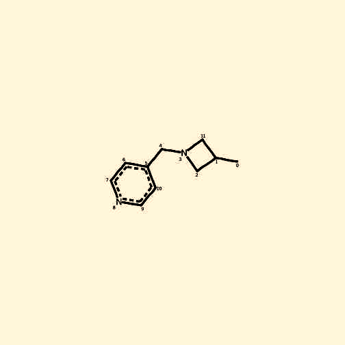 CC1CN(Cc2ccncc2)C1